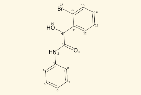 O=C(Nc1ccccc1)C(O)c1ccccc1Br